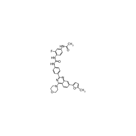 CC(=O)Nc1ccc(NC(=O)Nc2ccc(-c3nc(N4CCOCC4)c4ccc(-c5ccc(C)o5)cc4n3)cc2)c(F)c1